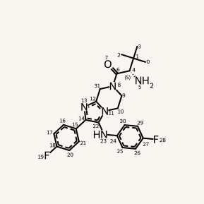 CC(C)(C)[C@H](N)C(=O)N1CCn2c(nc(-c3ccc(F)cc3)c2Nc2ccc(F)cc2)C1